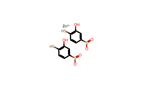 O=S([O-])c1ccc(S)c(O)c1.O=S([O-])c1ccc(S)c(O)c1.[Zn+2]